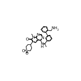 C[C@@H](Nc1ncnc2c1cc(C1CCS(=O)(=O)CC1)c(=O)n2C)c1cccc(-c2ccccc2CN)c1